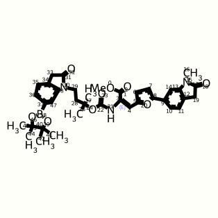 COC(=O)/C(=C\c1ccc(-c2ccc3c(c2)N(C)C(=O)C3)o1)NC(=O)OC(C)(C)CCN1C(=O)Cc2ccc(B3OC(C)(C)C(C)(C)O3)cc21